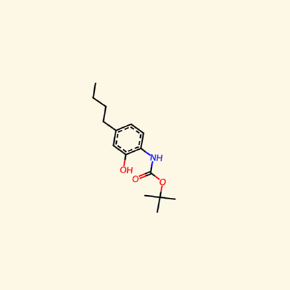 CCCCc1ccc(NC(=O)OC(C)(C)C)c(O)c1